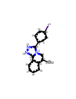 CCC(C)c1cn2c(-c3ccc(I)cc3)nnc2c2ccccc12